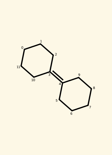 C1CCC(=C2CCCCC2)CC1